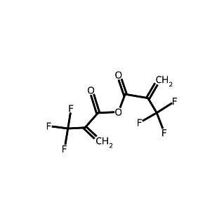 C=C(C(=O)OC(=O)C(=C)C(F)(F)F)C(F)(F)F